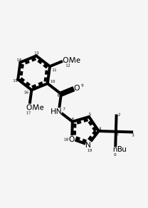 CCCCC(C)(C)c1cc(NC(=O)c2c(OC)cccc2OC)on1